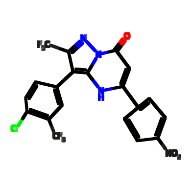 O=c1cc(-c2ccc([N+](=O)[O-])cc2)[nH]c2c(-c3ccc(Cl)c(C(F)(F)F)c3)c(C(F)(F)F)nn12